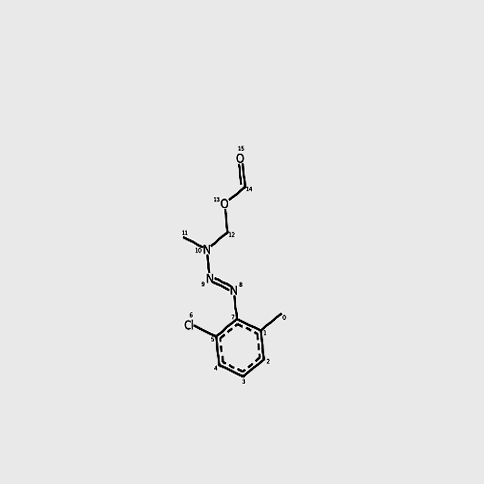 Cc1cccc(Cl)c1/N=N/N(C)COC=O